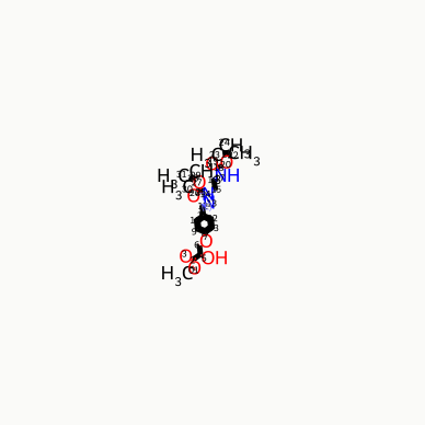 COC(=O)C(O)COc1ccc(/C=N/N(CCNC(=O)OC(C)(C)C)C(=O)OC(C)(C)C)cc1